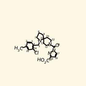 Cc1ccc(CN2CCCC23CCN(C(=O)n2ccc(C(=O)O)n2)CC3)c(Cl)c1